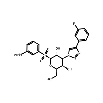 CC(=O)Nc1cccc(S(=O)(=O)[C@@H]2O[C@H](CO)[C@H](O)[C@H](n3cc(-c4cccc(F)c4)nn3)[C@H]2O)c1